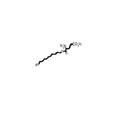 CC(C)CCCCCCCCCCOC(=O)[C@@H](N)CCC(=O)O